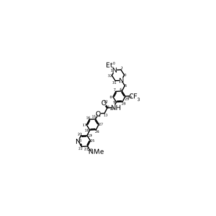 CCN1CCN(Cc2ccc(NC(=O)COc3ccc(-c4cncc(NC)c4)cc3)cc2C(F)(F)F)CC1